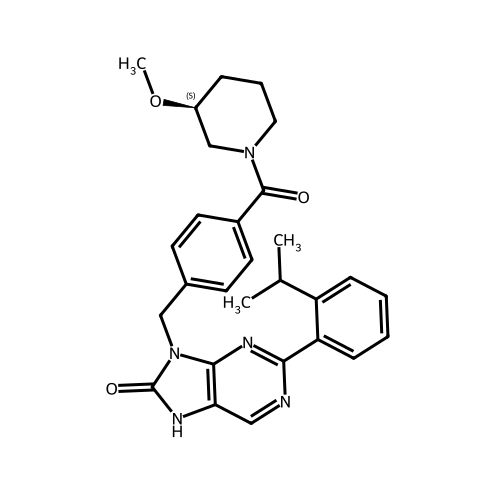 CO[C@H]1CCCN(C(=O)c2ccc(Cn3c(=O)[nH]c4cnc(-c5ccccc5C(C)C)nc43)cc2)C1